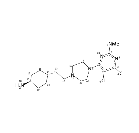 CNc1nc(Cl)c(Cl)c(N2CCN(CC[C@H]3CC[C@H](N)CC3)CC2)n1